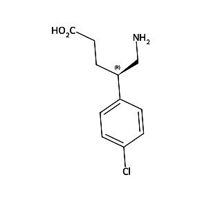 NC[C@H](CCC(=O)O)c1ccc(Cl)cc1